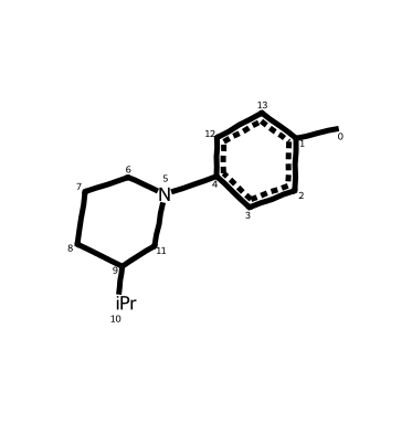 Cc1ccc(N2CCCC(C(C)C)C2)cc1